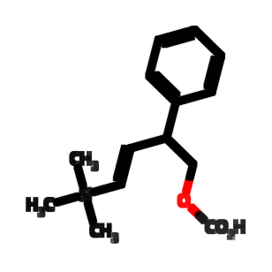 C[Si](C)(C)C=CC(COC(=O)O)c1ccccc1